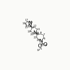 CCOC(=O)N1CCC[C@@H](N2CCC(n3cccn3)CC2)CC1